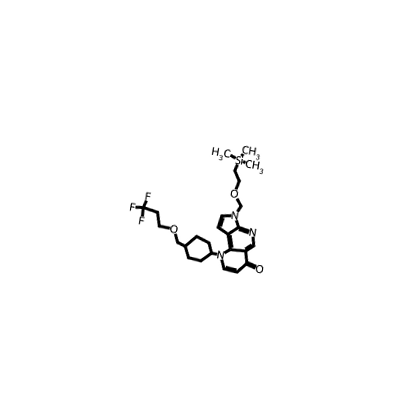 C[Si](C)(C)CCOCn1ccc2c1ncc1c(=O)ccn(C3CCC(COCCC(F)(F)F)CC3)c12